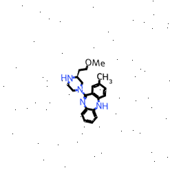 COCC[C@H]1CN(C2=Nc3ccccc3Nc3ccc(C)cc32)CCN1